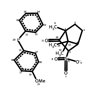 CC12CCC(C(S(=O)(=O)[O-])C1=O)C2(C)C.COc1ccc([I+]c2ccccc2)cc1